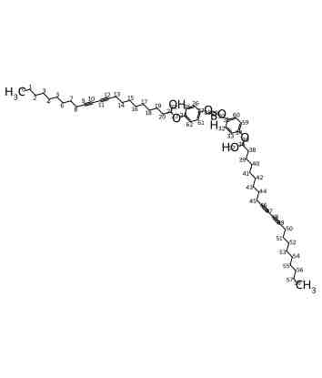 CCCCCCCCCC#CC#CCCCCCCCCC(O)Oc1ccc(OBOc2ccc(OC(O)CCCCCCCCC#CC#CCCCCCCCCC)cc2)cc1